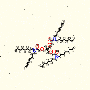 CCCCCCCCN(CCCCCCCC)C(=O)COCC(C)(COCC(=O)N(CCCCCCCC)CCCCCCCC)COCC(=O)N(CCCCCCCC)CCCCCCCC